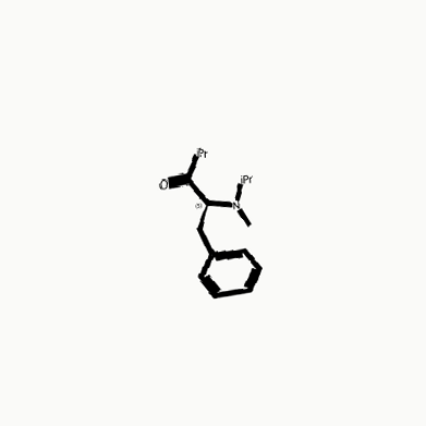 CC(C)C(=O)[C@H](Cc1ccccc1)N(C)C(C)C